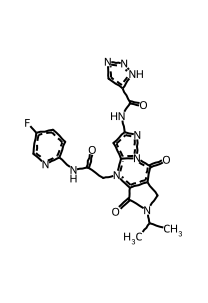 CC(C)N1Cc2c(n(CC(=O)Nc3ccc(F)cn3)c3cc(NC(=O)c4cnn[nH]4)nn3c2=O)C1=O